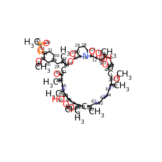 CO[C@H]1C[C@@H]2CC[C@@H](C)[C@@](O)(O2)C(=O)C(=O)N2CCCCC2C(=O)O[C@H]([C@H](C)C[C@@H]2CC[C@H](O[PH](C)=O)[C@H](OC)C2)CC(=O)[C@H](C)/C=C(\C)[C@@H](O)[C@@H](OC)C(=O)[C@H](C)C[C@H](C)/C=C/C=C/C=C/1C